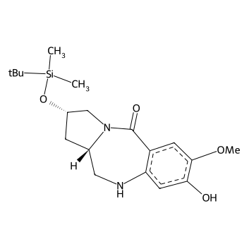 COc1cc2c(cc1O)NC[C@@H]1C[C@H](O[Si](C)(C)C(C)(C)C)CN1C2=O